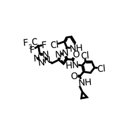 O=C(NCC1CC1)C1=C(NC(=O)c2cc(Cn3nnc(C(F)(F)C(F)(F)F)n3)nn2C2NC=CC=C2Cl)C(Cl)=CC(Cl)C1